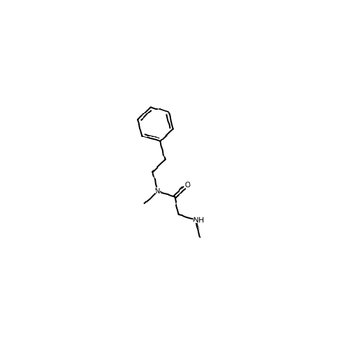 CNCC(=O)N(C)CCc1ccccc1